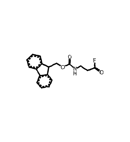 O=C(F)CCNC(=O)OCC1c2ccccc2-c2ccccc21